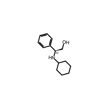 OC[C@@H](NC1CCCCC1)c1ccccc1